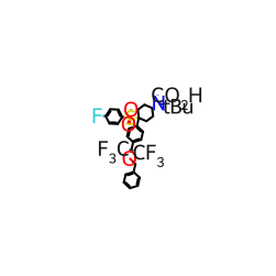 CC(C)(C)N(C(=O)O)C1CCC(c2ccc(C(OCc3ccccc3)(C(F)(F)F)C(F)(F)F)cc2)(S(=O)(=O)c2ccc(F)cc2)CC1